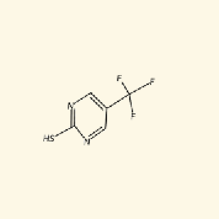 FC(F)(F)c1cnc(S)nc1